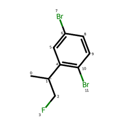 C[C](CF)c1cc(Br)ccc1Br